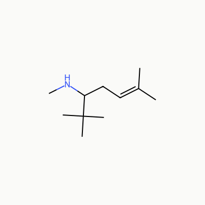 CNC(CC=C(C)C)C(C)(C)C